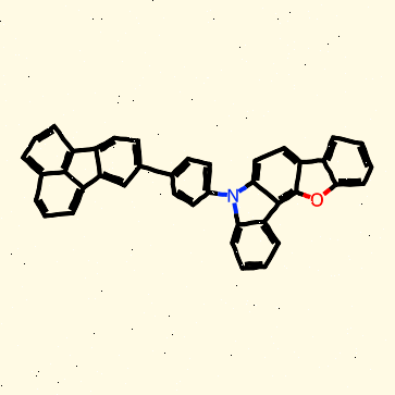 c1cc2c3c(cccc3c1)-c1cc(-c3ccc(-n4c5ccccc5c5c6oc7ccccc7c6ccc54)cc3)ccc1-2